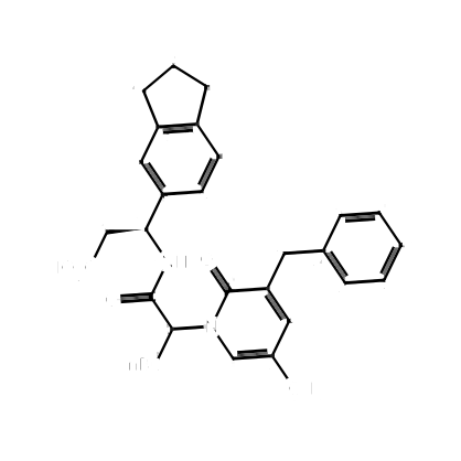 CCCCC(C(=O)N[C@@H](CC(=O)O)c1ccc2c(c1)CCC2)n1cc(C)cc(Cc2ccccc2)c1=O